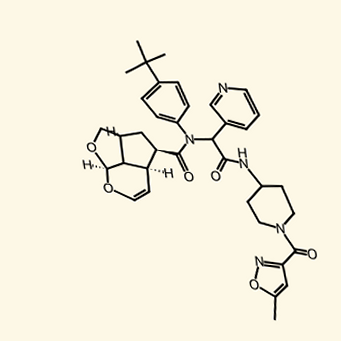 Cc1cc(C(=O)N2CCC(NC(=O)C(c3cccnc3)N(C(=O)[C@@H]3C[C@@H]4CO[C@@H]5OC=C[C@H]3C45)c3ccc(C(C)(C)C)cc3)CC2)no1